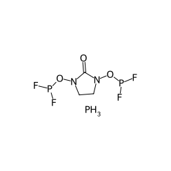 O=C1N(OP(F)F)CCN1OP(F)F.P